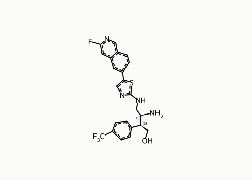 N[C@H](CNc1ncc(-c2ccc3cnc(F)cc3c2)s1)[C@@H](CO)c1ccc(C(F)(F)F)cc1